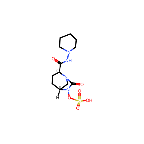 O=C(NN1CCCCC1)[C@@H]1CC[C@@H]2CN1C(=O)N2OS(=O)(=O)O